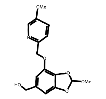 COc1ccc(COc2cc(CO)cc3c2OC(OC)O3)nc1